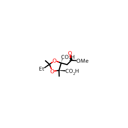 CCC1(C)O[C@](C)(C(=O)O)[C@@](CC(=O)OC)(C(=O)O)O1